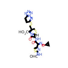 O=CNc1nc(C(=NOC2CC2)C(=O)N[C@@H]2C(=O)N3C(C(=O)O)=C(CSc4ccc5nnnn5n4)CS[C@@H]23)cs1